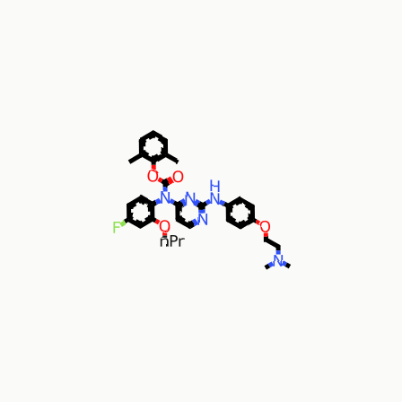 CCCOc1cc(F)ccc1N(C(=O)Oc1c(C)cccc1C)c1ccnc(Nc2ccc(OCCN(C)C)cc2)n1